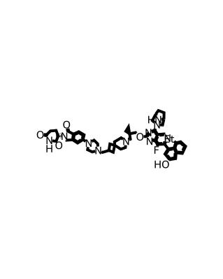 CCc1cccc2cc(O)cc(-c3ncc4c(N5CC6CCC(C5)N6)nc(OCC5(CN6CCC7(CC6)CC(CN6CCN(c8ccc9c(c8)CN([C@H]8CCC(=O)NC8=O)C9=O)CC6)C7)CC5)nc4c3F)c12